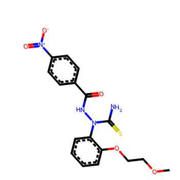 COCCOc1ccccc1N(NC(=O)c1ccc([N+](=O)[O-])cc1)C(N)=S